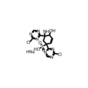 NC1(c2ncnc(Cl)n2)CC(c2ncnc(Cl)n2)(S(=O)(=O)O)C=CC1O.[NaH]